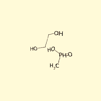 C[PH](=O)O.OCCO